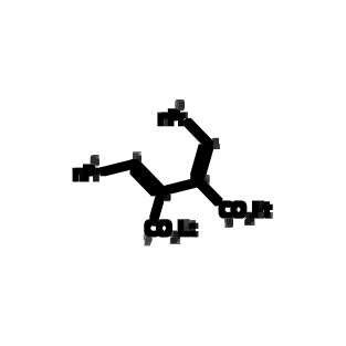 CCCC=C(C(=O)OCC)C(=CCCC)C(=O)OCC